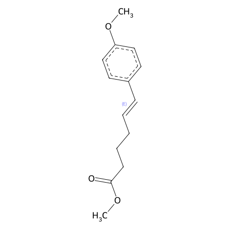 COC(=O)CCC/C=C/c1ccc(OC)cc1